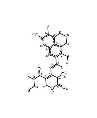 CCc1c(/C(C)=C/C2=C(C(=O)C(C)CC)COC(=O)C2O)nc2cc(F)c(C)c3c2c1CCC3